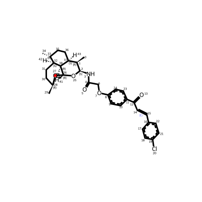 C[C@H]1[C@@H](NC(=O)COc2ccc(C(=O)/C=C/c3ccc(Cl)cc3)cc2)O[C@@H]2O[C@@]3(C)CC[C@H]4[C@H](C)CC[C@@H]1[C@@]24OO3